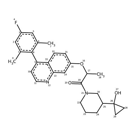 Cc1cc(F)cc(C)c1-c1ccnc2cc(OC(C)C(=O)N3CCCC(C4(O)CC4)C3)ccc12